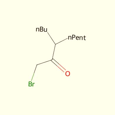 CCCCCC(CCCC)C(=O)CBr